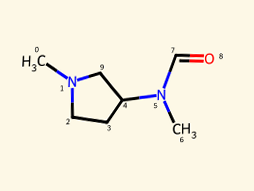 CN1CCC(N(C)C=O)C1